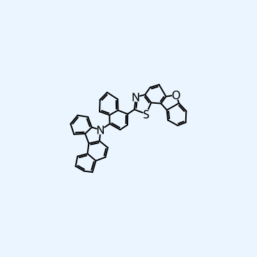 c1ccc2c(c1)ccc1c2c2ccccc2n1-c1ccc(-c2nc3ccc4oc5ccccc5c4c3s2)c2ccccc12